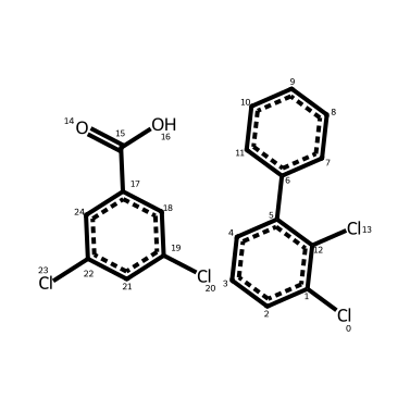 Clc1cccc(-c2ccccc2)c1Cl.O=C(O)c1cc(Cl)cc(Cl)c1